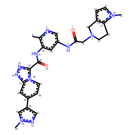 Cc1ncc(NC(=O)CN2CCc3c(ccn3C)C2)cc1NC(=O)c1nnc2cc(-c3cnn(C)c3)ccn12